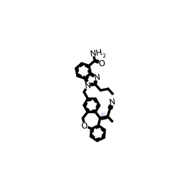 CCCc1nc2c(C(N)=O)cccc2n1Cc1ccc2c(c1)COc1ccccc1/C2=C(\C)C#N